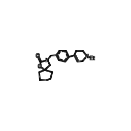 CCN1CC=C(c2ccc(CN3CC4(CCCCC4)OC3=O)cc2)CC1